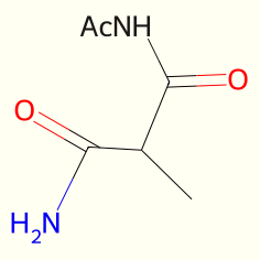 CC(=O)NC(=O)C(C)C(N)=O